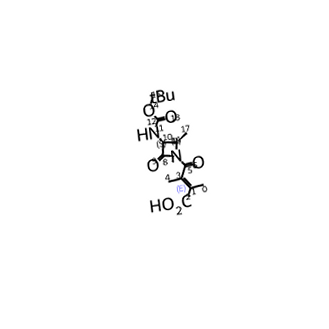 C/C(C(=O)O)=C(/C)C(=O)N1C(=O)[C@@H](NC(=O)OC(C)(C)C)[C@H]1C